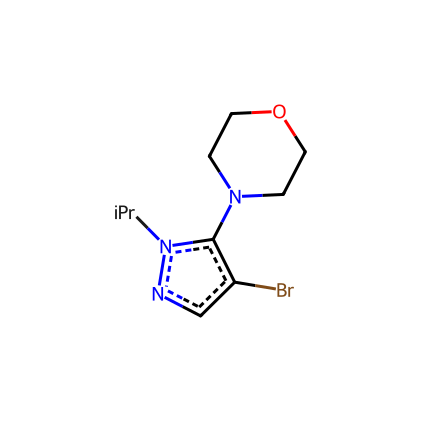 CC(C)n1ncc(Br)c1N1CCOCC1